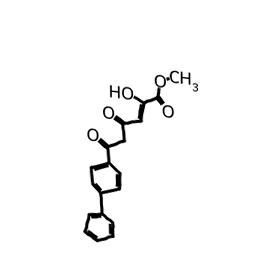 COC(=O)C(O)=CC(=O)CC(=O)c1ccc(-c2ccccc2)cc1